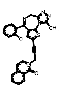 Cc1nnc2n1-c1sc(C#CCn3ccc4ccccc4c3=O)cc1C(c1ccccc1Cl)=NC2